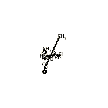 CCCCCCCCCCCCC[C@@H](CC(=O)OCC(Cl)(Cl)Cl)OC(=O)[C@H](CCCC(=O)OCc1ccccc1)NC(=O)Nc1ccc(C)cn1